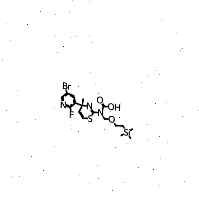 CC1(c2cc(Br)cnc2F)C=CSC(N(COCC[Si](C)(C)C)C(=O)O)=N1